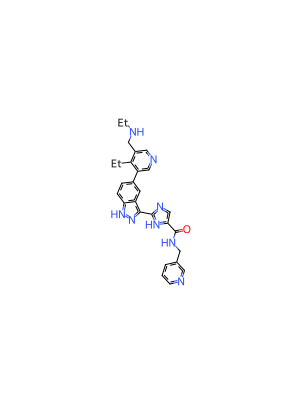 CCNCc1cncc(-c2ccc3[nH]nc(-c4ncc(C(=O)NCc5cccnc5)[nH]4)c3c2)c1CC